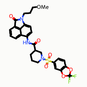 COCCCN1C(=O)c2cccc3c(NC(=O)C4CCCN(S(=O)(=O)c5ccc6c(c5)OC(F)(F)O6)C4)ccc1c23